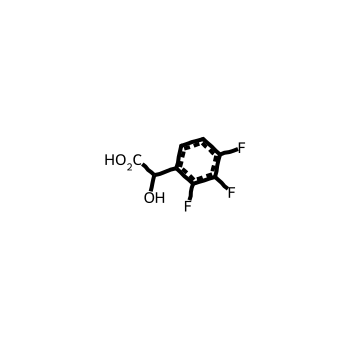 O=C(O)C(O)c1ccc(F)c(F)c1F